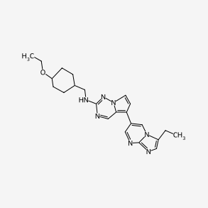 CCOC1CCC(CNc2ncc3c(-c4cnc5ncc(CC)n5c4)ccn3n2)CC1